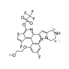 COCCOc1cc(F)cc(F)c1-c1c(-c2cc3n(n2)C[C@@H](C)N[C@H]3C)nc(OS(=O)(=O)C(F)(F)F)c2scc(F)c12